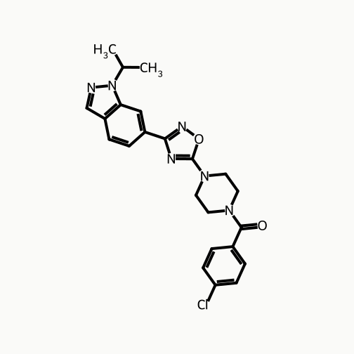 CC(C)n1ncc2ccc(-c3noc(N4CCN(C(=O)c5ccc(Cl)cc5)CC4)n3)cc21